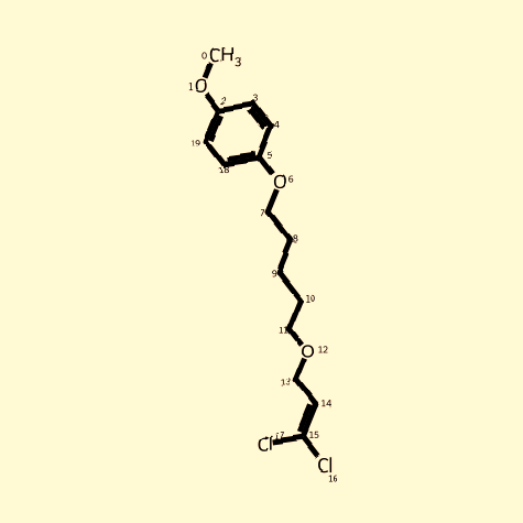 COc1ccc(OCCCCCOCC=C(Cl)Cl)cc1